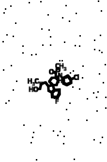 COC(=O)C1(Nc2cccc(Cl)c2)CCC2(CC1)c1ccc(F)cc1CC2C[C@@H](C)CO